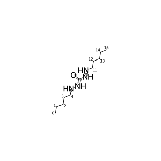 CCCCCNNC(=O)NNCCCCC